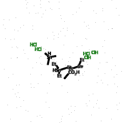 CC(=O)O.C[CH2][SnH]([CH2]C)[CH2]C.C[CH2][Sn][CH2]C.Cl.Cl.Cl.Cl.Cl.[CH3][SnH]([CH3])[CH3]